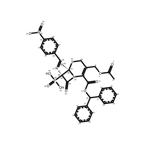 CC(=O)OCC1=C(C(=O)OC(c2ccccc2)c2ccccc2)N2C(=O)[C@@](N=Cc3ccc([N+](=O)[O-])cc3)(P(=O)(O)O)[C@H]2SC1